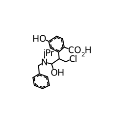 CC(C)N(Cc1ccccc1)C(O)C(CCl)c1cc(O)ccc1C(=O)O